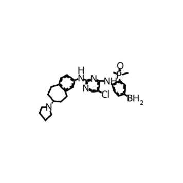 Bc1ccc(Nc2nc(Nc3ccc4c(c3)CC[C@@H](N3CCCC3)CC4)ncc2Cl)c(P(C)(C)=O)c1